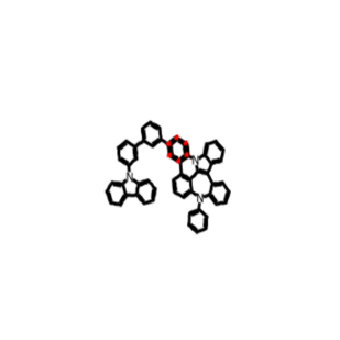 c1ccc(N2c3ccccc3-c3c(n(-c4ccccc4)c4ccccc34)-c3c(-c4cccc(-c5cccc(-c6cccc(-n7c8ccccc8c8ccccc87)c6)c5)c4)cccc32)cc1